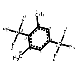 Cc1cc([Si](F)(F)F)cc(C)c1[Si](F)(F)F